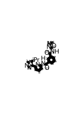 CC(C)n1cnnc1-c1cccc(NC(=O)c2cccc(C(=O)Nc3nnco3)c2)n1